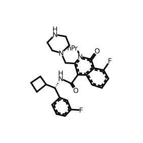 CCCn1c(CN2CCNCC2)c(C(=O)N[C@H](c2cccc(F)c2)C2CCC2)c2cccc(F)c2c1=O